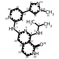 CC(C)Nc1nc(Nc2cc(-c3cnn(C)c3)ccn2)cc2cc[nH]c(=O)c12